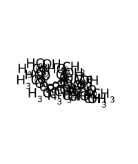 C=C1c2c(cc3cc(O[C@H]4C[C@@H](O[C@H]5C[C@@H](O)[C@H](O)[C@@H](C)O5)[C@H](O)[C@@H](C)O4)c(C)c(C)c3c2C)C[C@@H]([C@H](OC)C(=O)[C@@H](O)[C@@H](C)O)[C@@H]1OC1C[C@H](C)[C@@H](O)[C@H](O[C@H]2C[C@@H](O[C@H]3C[C@](C)(O)[C@H](O)[C@@H](C)O3)[C@H](O)[C@@H](C)O2)C1